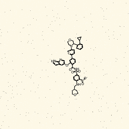 O=C(NS(=O)(=O)c1ccc(NCC2CCOCC2)c([N+](=O)[O-])c1)c1ccc(-c2ccc(N3CCOCC3c3ccccc3C3CC3)cc2)cc1Oc1cnc2[nH]ccc2c1